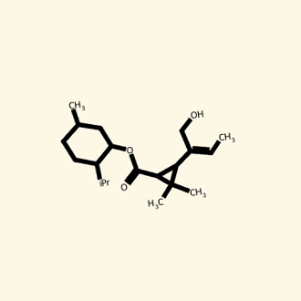 CC=C(CO)C1C(C(=O)OC2CC(C)CCC2C(C)C)C1(C)C